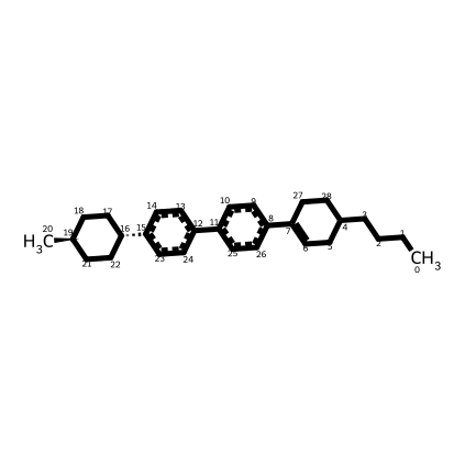 CCCCC1CC=C(c2ccc(-c3ccc([C@H]4CC[C@H](C)CC4)cc3)cc2)CC1